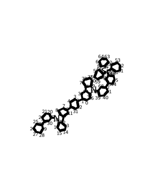 C1=C(c2ccc(-c3ccc4c(c3)c3ccccc3n4-c3cccc(-c4ccccc4)c3)cc2)CC2C(=C1)N(c1cccc(-c3cccc([Si](c4ccccc4)(c4ccccc4)c4ccccc4)c3)c1)c1ccccc12